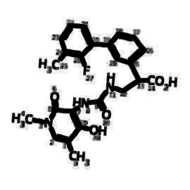 Cc1cn(C)c(=O)c(NC(=O)NCC(C(=O)O)c2cccc(-c3cccc(C)c3F)c2)c1O